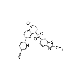 Cc1nc2ccc(S(=O)(=O)N3CC[S+]([O-])c4ccc(-c5ccc(C#N)cn5)cc43)cc2s1